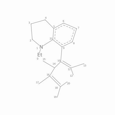 CCN1CCCc2cccc(C(=C(C)C)C(C)C(C)=C(C)C)c21